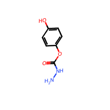 NNC(=O)Oc1ccc(O)cc1